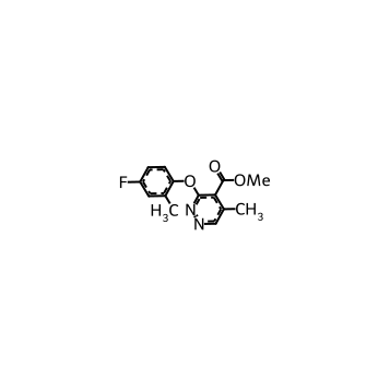 COC(=O)c1c(C)cnnc1Oc1ccc(F)cc1C